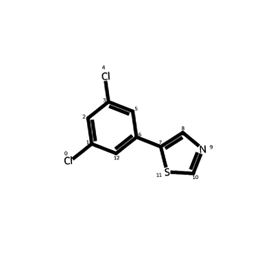 Clc1cc(Cl)cc(-c2[c]ncs2)c1